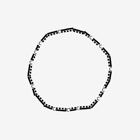 [c]1ccccccccccccccccccccc1